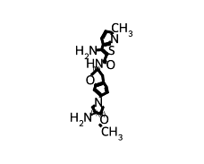 CCO[C@@H]1CN(c2ccc3c(c2)OC[C@H](NC(=O)c2sc4nc(C)ccc4c2N)C3)C[C@@H]1N